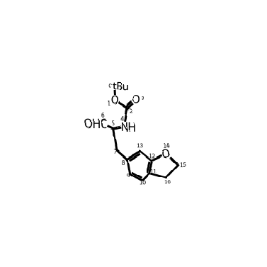 CC(C)(C)OC(=O)NC(C=O)Cc1ccc2c(c1)OCC2